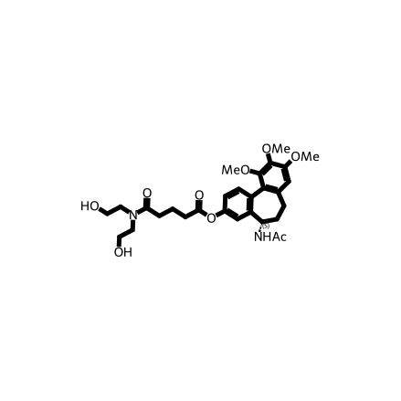 COc1cc2c(c(OC)c1OC)-c1ccc(OC(=O)CCCC(=O)N(CCO)CCO)cc1[C@@H](NC(C)=O)CC2